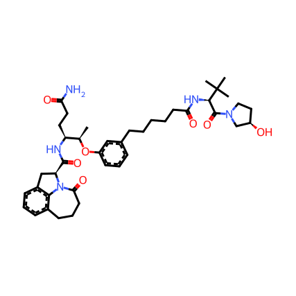 C[C@@H](Oc1cccc(CCCCCC(=O)N[C@H](C(=O)N2CC[C@@H](O)C2)C(C)(C)C)c1)[C@H](CCC(N)=O)NC(=O)[C@@H]1Cc2cccc3c2N1C(=O)CCC3